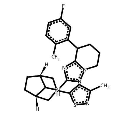 Cc1cc(N2C[C@H]3CC[C@@H](C2)C3Nc2nc3n(n2)CCCC3c2cc(F)ccc2C(F)(F)F)sn1